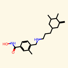 C=C1CC(CCCNCc2ccc(C(=O)NO)cc2C)CC(C)C1C